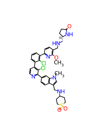 COc1nc(-c2cccc(-c3ccnc(-c4ccc5c(CNC6CCS(=O)(=O)CC6)cn(C)c5c4)c3Cl)c2Cl)ccc1CNC[C@@H]1CCC(=O)N1